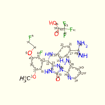 COc1cc(OCCF)c(F)c(C(Nc2ccc(C(=N)N)cc2)c2nn(-c3ncccc3N)c(=O)[nH]2)c1.O=C(O)C(F)(F)F